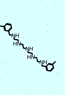 Cc1cccc(CNCCNCCNCCNCCNCc2cccc(C)c2)c1